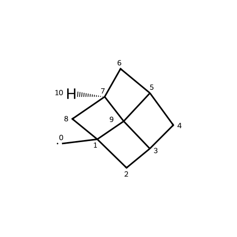 [CH2]C12CC3CC4C[C@H](C1)C432